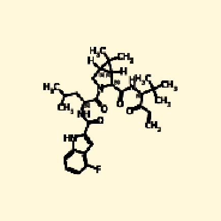 C=CC(=O)[C@@H](NC(=O)[C@@H]1[C@@H]2[C@H](CN1C(=O)[C@H](CC(C)C)NC(=O)c1cc3c(F)cccc3[nH]1)C2(C)C)C(C)(C)C